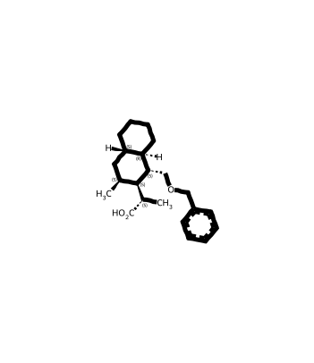 C[C@H](C(=O)O)[C@@H]1[C@@H](COCc2ccccc2)[C@@H]2CCCC[C@H]2C[C@@H]1C